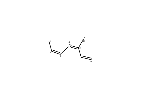 C=C/C(Br)=N\C=C/C